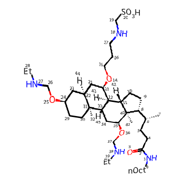 CCCCCCCCNC(=O)CC[C@@H](C)[C@H]1CC[C@H]2[C@@H]3[C@H](OCCCNCS(=O)(=O)O)C[C@@H]4C[C@H](OCNCC)CC[C@]4(C)[C@H]3C[C@H](OCNCC)[C@]12C